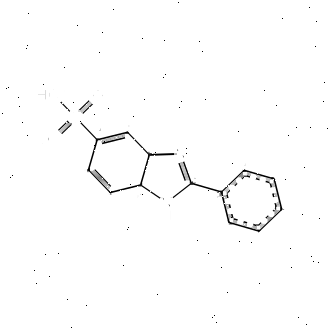 O=S(=O)(O)C1=CC2N=C(c3ccccc3)NC2C=C1